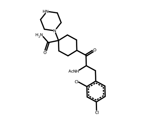 CC(=O)NC(Cc1ccc(Cl)cc1Cl)C(=O)C1CCC(C(N)=O)(N2CCNCC2)CC1